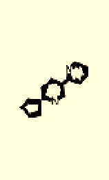 C1=CCC=C1.c1ccc(-c2cccnc2)nc1